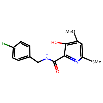 COc1cc(SC)nc(C(=O)NCc2ccc(F)cc2)c1O